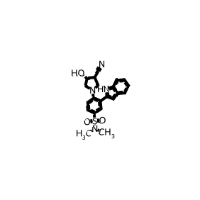 CN(C)S(=O)(=O)c1ccc(N2CC(O)C(C#N)C2)c(-c2cc3ccccc3[nH]2)c1